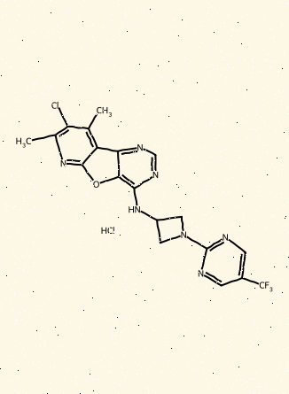 Cc1nc2oc3c(NC4CN(c5ncc(C(F)(F)F)cn5)C4)ncnc3c2c(C)c1Cl.Cl